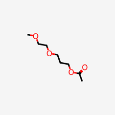 COCCOCCCOC(C)=O